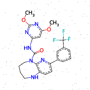 COc1cc(NC(=O)N2CCCCNc3ccc(-c4cccc(C(F)(F)F)c4)nc32)nc(OC)n1